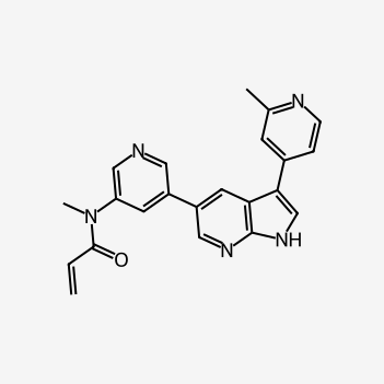 C=CC(=O)N(C)c1cncc(-c2cnc3[nH]cc(-c4ccnc(C)c4)c3c2)c1